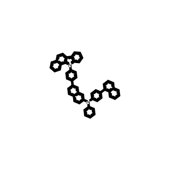 c1ccc(N(c2ccc(-c3cccc4ccccc34)cc2)c2ccc3ccc(-c4ccc(-n5c6ccccc6c6ccc7ccccc7c65)cc4)cc3c2)cc1